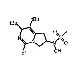 CCC1=NC(C(C)(C)C)C(C(C)(C)C)=C2CC(N(O)S(C)(=O)=O)CN12